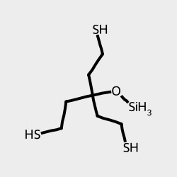 [SiH3]OC(CCS)(CCS)CCS